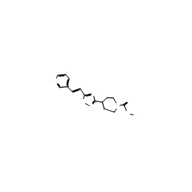 CC(C)(C)OC(=O)N1CCC(c2noc(/C=C/c3cccnc3)n2)CC1